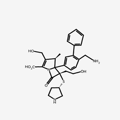 C[C@@H]1C(CO)=C(C(=O)O)N2C(=O)[C@@](CCO)(S[C@H]3CCNC3)C12c1ccc(CN)c(-c2ccccc2)c1